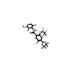 COc1ncc(C)c(NC(=O)c2cc(F)c(C3OC(C)(C)C(C)(C)O3)cc2O[C@@H](C)C(F)(F)F)c1C